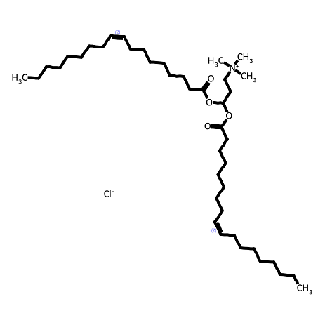 CCCCCCCC/C=C\CCCCCCCC(=O)OC(CC[N+](C)(C)C)OC(=O)CCCCCCC/C=C\CCCCCCCC.[Cl-]